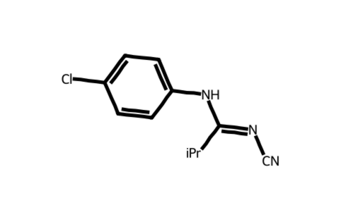 CC(C)/C(=N\C#N)Nc1ccc(Cl)cc1